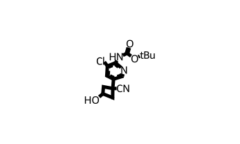 CC(C)(C)OC(=O)Nc1ncc(C2(C#N)CC(O)C2)cc1Cl